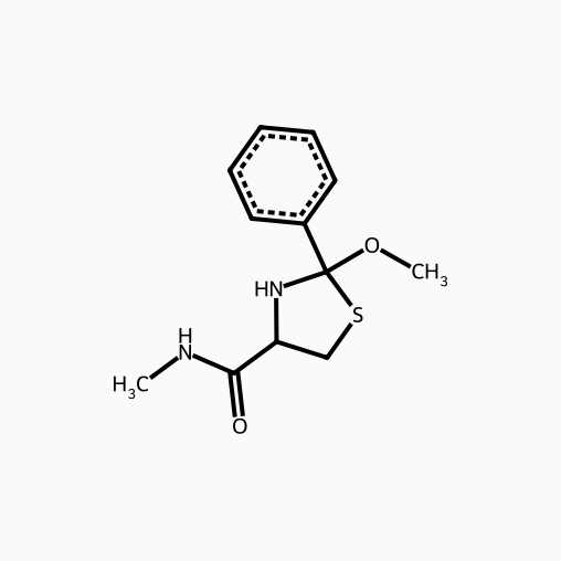 CNC(=O)C1CSC(OC)(c2ccccc2)N1